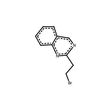 BrCCc1ncc2ccccc2n1